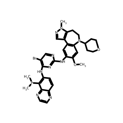 COc1cc2c(cc1Nc1ncc(Br)c(Nc3ccc4nccnc4c3P(C)C)n1)-c1cnn(C)c1CCN2C1CCOCC1